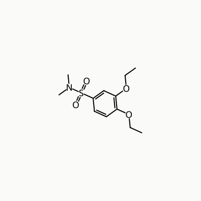 CCOc1ccc(S(=O)(=O)N(C)C)cc1OCC